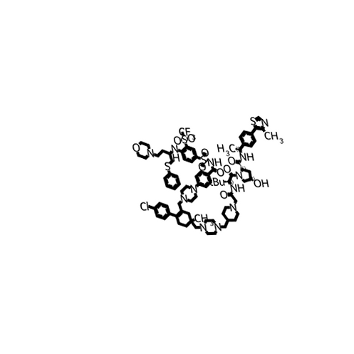 Cc1ncsc1-c1ccc([C@H](C)NC(=O)[C@@H]2C[C@@H](O)CN2C(=O)[C@@H](NC(=O)CN2CCC(CN3CCN(CC4(C)CCC(c5ccc(Cl)cc5)=C(CN5CCN(c6ccc(C(=O)NS(=O)(=O)c7ccc(NC(CCN8CCOCC8)CSc8ccccc8)c(S(=O)(=O)C(F)(F)F)c7)cc6)CC5)C4)CC3)CC2)C(C)(C)C)cc1